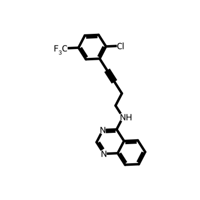 FC(F)(F)c1ccc(Cl)c(C#CCCNc2ncnc3ccccc23)c1